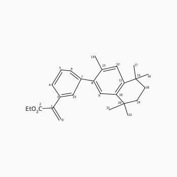 C=C(C(=O)OCC)c1cccc(-c2cc3c(cc2C)C(C)(C)CCC3(C)C)c1